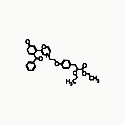 CCOC(=O)C(Cc1ccc(OCCN2C=COC(C3=CC(=O)CC=C3C(=O)c3ccccc3)=C2)cc1)OCC